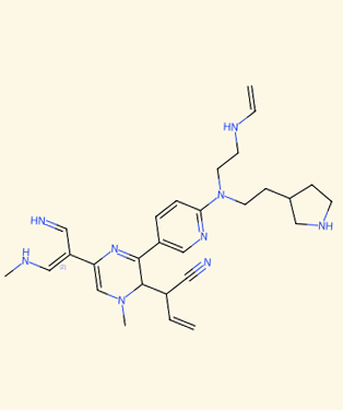 C=CNCCN(CCC1CCNC1)c1ccc(C2=NC(/C(C=N)=C/NC)=CN(C)C2C(C#N)C=C)cn1